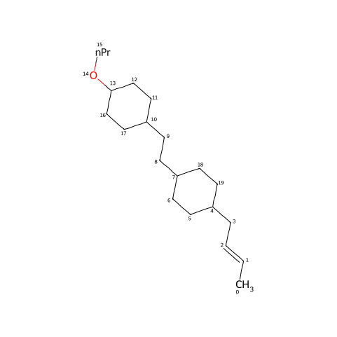 C/C=C/CC1CCC(CCC2CCC(OCCC)CC2)CC1